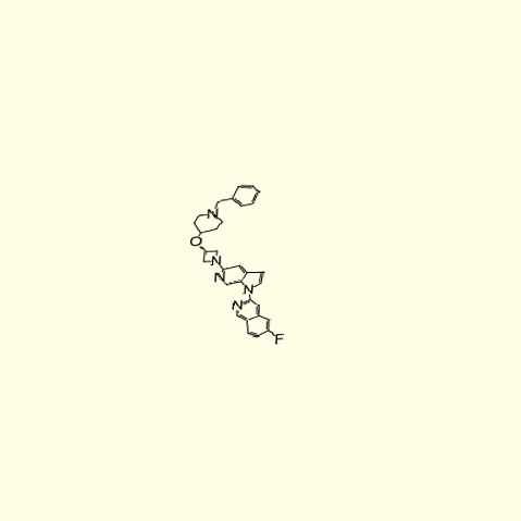 Fc1ccc2cnc(-n3ccc4cc(N5CC(OC6CCN(Cc7ccccc7)CC6)C5)ncc43)cc2c1